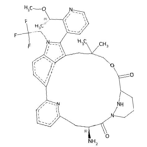 CO[C@@H](C)c1ncccc1-c1c2c3cc(ccc3n1CC(F)(F)F)-c1cccc(n1)C[C@H](N)C(=O)N1CCCC(N1)C(=O)OCC(C)(C)C2